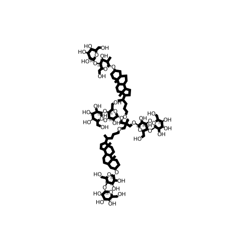 CC(CCCOCC(COCCCC(C)C1CCC2C3CCC4CC(O[C@H]5OC(CO)[C@H](O[C@@H]6OC(CO)[C@H](O)[C@@H](O)C6O)[C@@H](O)C5O)CCC4(C)C3CCC12C)(CO[C@@H]1OC(CO)[C@@H](O[C@H]2OC(CO)[C@@H](O)[C@H](O)C2O)[C@H](O)C1O)CO[C@H]1OC(CO)[C@H](O[C@@H]2OC(CO)[C@H](O)[C@@H](O)C2O)[C@@H](O)C1O)C1CCC2C3CCC4CC(O[C@@H]5OC(CO)[C@@H](O[C@H]6OC(CO)[C@@H](O)[C@H](O)C6O)[C@H](O)C5C)CCC4(C)C3CCC12C